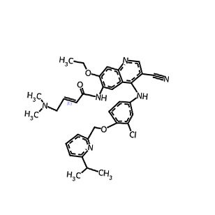 CCOc1cc2ncc(C#N)c(Nc3ccc(OCc4cccc(C(C)C)n4)c(Cl)c3)c2cc1NC(=O)/C=C/CN(C)C